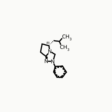 CC(C)C[C@H]1CCC2=NN(c3ccccc3)CN21